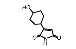 O=C1C=C(C2CCC(O)CC2)C(=O)N1